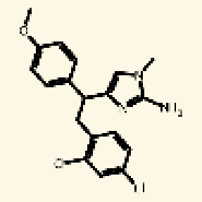 COc1ccc(C(Cc2ccc(Cl)cc2Cl)c2cn(C)c(N)n2)cc1